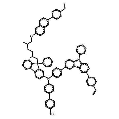 C=Cc1ccc(-c2ccc3cc(OCC(C)CCC(C)CC4(c5ccccc5)c5ccccc5-c5ccc(N(c6ccc(-c7ccc(C(C)(C)C)cc7)cc6)c6ccc(-c7ccc8c(c7)c7cc(-c9ccc(C=C)cc9)ccc7n8-c7ccccc7)cc6)cc54)ccc3c2)cc1